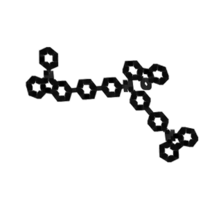 c1ccc(-n2c3ccccc3c3ccc(-c4ccc(-c5ccc(N(c6ccc(-c7ccc(-n8c9ccccc9c9ccccc98)cc7)cc6)c6cccc7c6oc6ccccc67)cc5)cc4)cc32)cc1